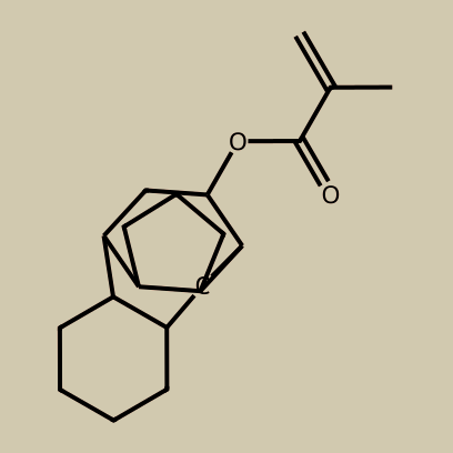 C=C(C)C(=O)OC1CC2C3CCCCC3CC1C1CCCC21